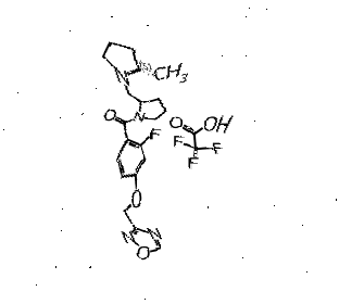 C[C@H]1CCCN1CC1CCCN1C(=O)c1ccc(OCc2ncon2)cc1F.O=C(O)C(F)(F)F